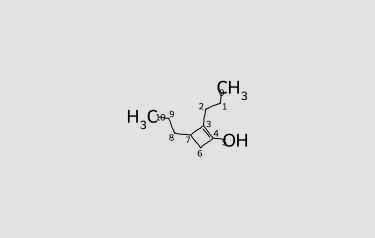 CCCC1=C(O)CC1CCC